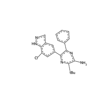 CC(C)(C)c1nc(-c2cc(Cl)c3[nH]ncc3c2)c(-c2ccccc2)nc1N